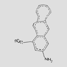 CCCCCCCCc1cc(N)cc2cc3ccccc3cc12